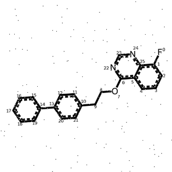 Fc1cccc2c(OCCc3ccc(-c4ccccc4)cc3)ncnc12